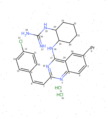 CC(C)c1ccc2nc(/C=C\c3ccc(Cl)cc3)nc(NC3CCCCC3NC(=N)N)c2c1.Cl.Cl